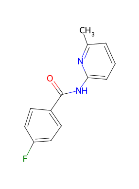 Cc1cccc(NC(=O)c2ccc(F)cc2)n1